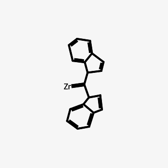 [Zr]=[C](C1C=Cc2ccccc21)C1C=Cc2ccccc21